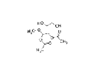 COC(COC(C)=O)OC(C)=O.OCCO